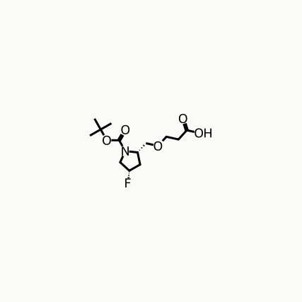 CC(C)(C)OC(=O)N1C[C@@H](F)C[C@H]1COCCC(=O)O